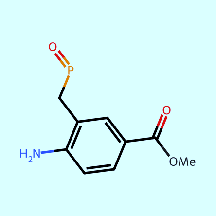 COC(=O)c1ccc(N)c(CP=O)c1